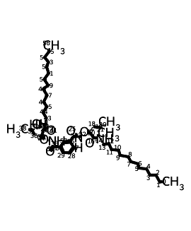 CCCCCCCCCCCCCCNC(=O)[C@@H](CC(C)C)ONC(=O)c1cccc(C(=O)NO[C@H](CC(C)C)C(=O)NCCCCCCCCCCCCCC)c1